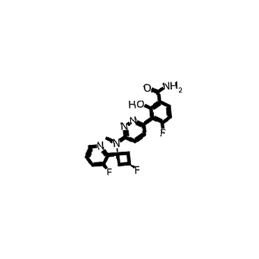 CN(c1ccc(-c2c(F)ccc(C(N)=O)c2O)nn1)[C@]1(c2ncccc2F)C[C@@H](F)C1